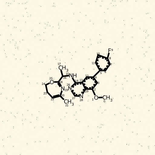 COc1cc(-c2ccc(F)cc2)cc2c(NC(C)C3=NC(C)=CCCO3)ncnc12